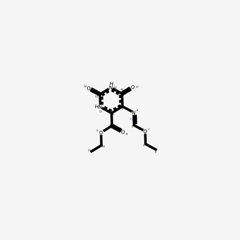 CCO/C=N/c1c(C(=O)OCC)[nH]c(=O)[nH]c1=O